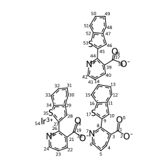 O=C([O-])c1cccnc1-c1cc2ccccc2s1.O=C([O-])c1cccnc1-c1cc2ccccc2s1.O=C([O-])c1cccnc1-c1cc2ccccc2s1.[Ir+3]